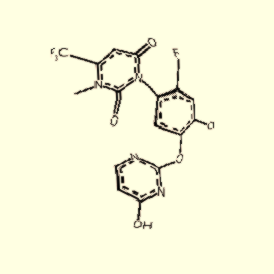 Cn1c(C(F)(F)F)cc(=O)n(-c2cc(Oc3nccc(O)n3)c(Cl)cc2F)c1=O